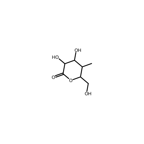 CC1C(CO)OC(=O)C(O)C1O